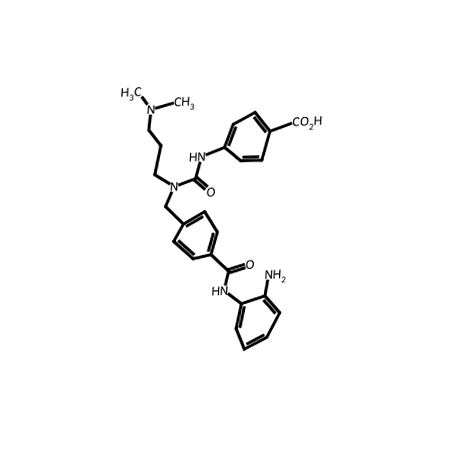 CN(C)CCCN(Cc1ccc(C(=O)Nc2ccccc2N)cc1)C(=O)Nc1ccc(C(=O)O)cc1